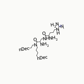 CCCCCCCCCCCCCCN(CCCCCCCCCCCC)C(=O)C(N)CNC(=O)C(N)CCCN/C(N)=N\C